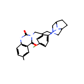 Cc1ccc2[nH]c(=O)n(CCCCN3C4CCC3CN(c3ccc(Cl)cc3)C4)c(=O)c2c1